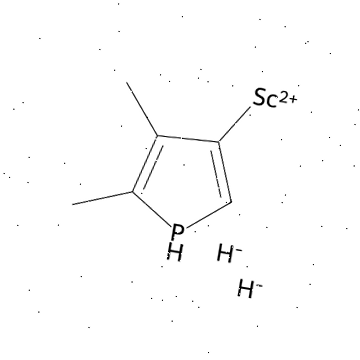 Cc1[pH]c[c]([Sc+2])c1C.[H-].[H-]